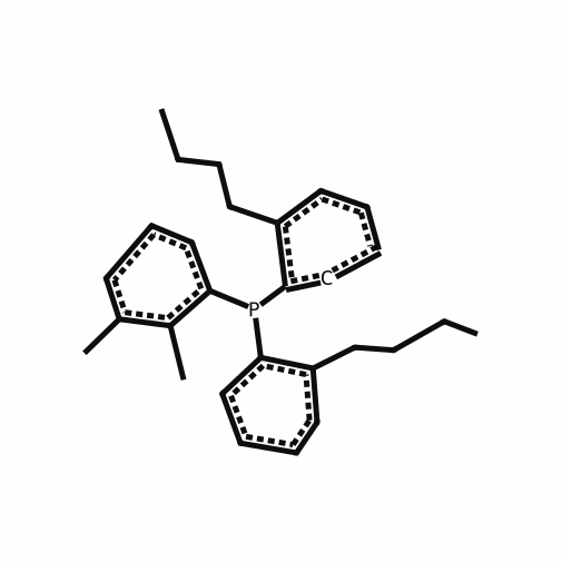 CCCCc1ccccc1P(c1ccccc1CCCC)c1cccc(C)c1C